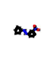 O=[N+]([O-])c1cccc(N=Nc2cc[c]cc2)c1